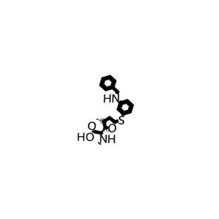 CNC(C(=O)O)[C@@H]1OC(Sc2cccc(NCc3ccccc3)c2)C[C@H]1C